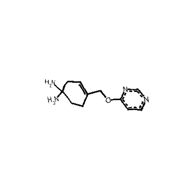 NC1(N)CC=C(COc2ccncn2)CC1